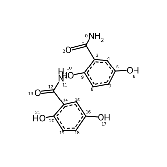 NC(=O)c1cc(O)ccc1O.NC(=O)c1cc(O)ccc1O